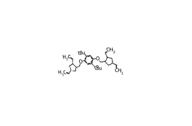 C=CC1CC(C=C)C(COc2cc(C(C)(C)C)c(OCC3CC(C=C)CC3C=C)cc2C(C)(C)C)C1